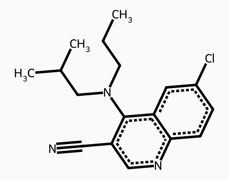 CCCN(CC(C)C)c1c(C#N)cnc2ccc(Cl)cc12